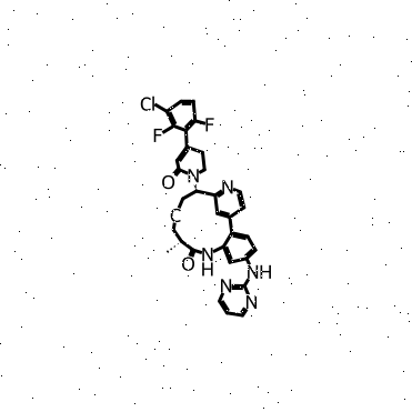 C[C@@H]1CCC[C@H](N2CCC(c3c(F)ccc(Cl)c3F)=CC2=O)c2cc(ccn2)-c2ccc(Nc3ncccn3)cc2NC1=O